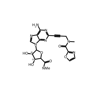 CNC(=O)C1OC(n2cnc3c(N)nc(C#CCN(C)C(=O)c4ncco4)nc32)[C@H](O)[C@@H]1O